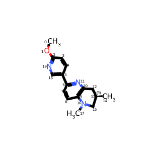 COc1ccc(-c2ccc3c(n2)C[C@@H](C)CN3C)cn1